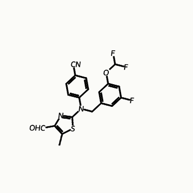 Cc1sc(N(Cc2cc(F)cc(OC(F)F)c2)c2ccc(C#N)cc2)nc1C=O